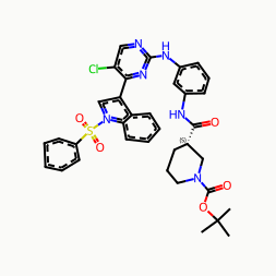 CC(C)(C)OC(=O)N1CCC[C@H](C(=O)Nc2cccc(Nc3ncc(Cl)c(-c4cn(S(=O)(=O)c5ccccc5)c5ccccc45)n3)c2)C1